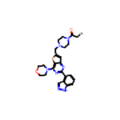 CC(=O)CC(=O)N1CCN(Cc2cc3nc(-c4cccc5[nH]ncc45)nc(N4CCOCC4)c3s2)CC1